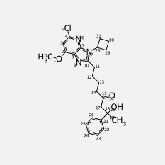 COc1cc(Cl)nc2c1nc(CCCCC(=O)CC(C)(O)c1ccccc1)n2C1CCC1